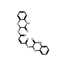 O=C(/C=C\C(=O)OC1Oc2ccccc2NC1=O)OC1Oc2ccccc2NC1=O